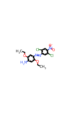 CCOc1cc(/N=N/c2cc(Cl)c([N+](=O)[O-])cc2Cl)c(OCC)cc1N